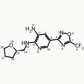 Nc1cc(-c2noc(C(F)(F)F)n2)cnc1NC[C@H]1CCCO1